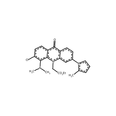 CCOC(=O)Cn1c2cc(-n3cccc3C)ccc2c(=O)c2ccc(Cl)c(N(C)C)c21